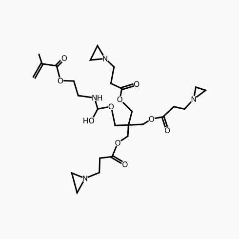 C=C(C)C(=O)OCCNC(O)OCC(COC(=O)CCN1CC1)(COC(=O)CCN1CC1)COC(=O)CCN1CC1